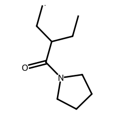 [CH2]CC(CC)C(=O)N1CCCC1